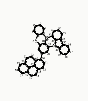 c1ccc2c(c1)Sc1cc(-c3ccc4ccc5cccc6ccc3c4c56)cc3c1B2c1cccc2c4ccccc4n-3c12